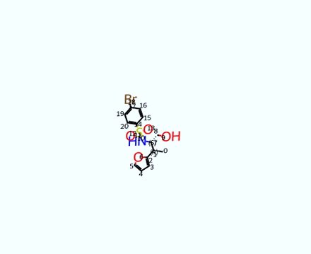 C[C@@H](c1ccco1)[C@@H](CO)NS(=O)(=O)c1ccc(Br)cc1